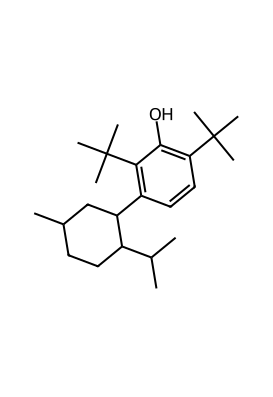 CC1CCC(C(C)C)C(c2ccc(C(C)(C)C)c(O)c2C(C)(C)C)C1